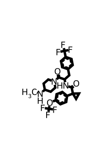 CNC1CCN(C(=O)C(Cc2ccc(C(F)(F)F)cc2)NC(=O)C2(c3ccc(OC(F)(F)F)cc3)CC2)CC1